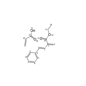 C=C(C=Cc1ccccc1)C(=O)OCC.C=CC(=O)O